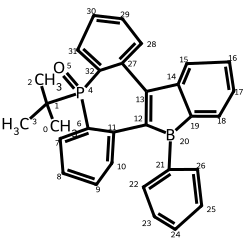 CC(C)(C)P1(=O)c2ccccc2C2=C(c3ccccc3B2c2ccccc2)c2ccccc21